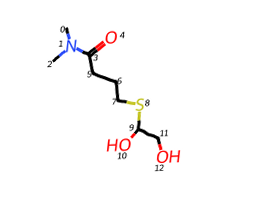 CN(C)C(=O)CCCSC(O)CO